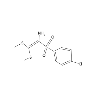 CSC(SC)=C(N)S(=O)(=O)c1ccc(Cl)cc1